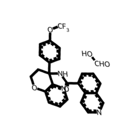 O=C(NC1(c2ccc(OC(F)(F)F)cc2)CCOc2cccnc21)c1cccc2cnccc12.O=CO